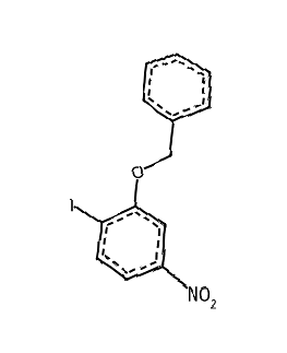 O=[N+]([O-])c1ccc(I)c(OCc2ccccc2)c1